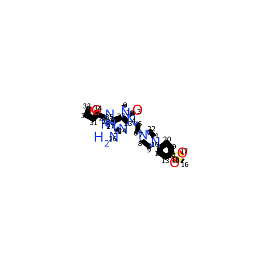 Cn1c(=O)n(CCN2CCN(c3ccc(S(C)(=O)=O)cc3)CC2)c2nc(N)n3nc(-c4ccco4)nc3c21